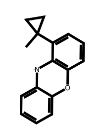 CC1(c2cccc3c2[N]c2ccccc2O3)CC1